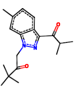 Cc1ccc2c(C(=O)C(C)C)nn(CC(=O)C(C)(C)C)c2c1